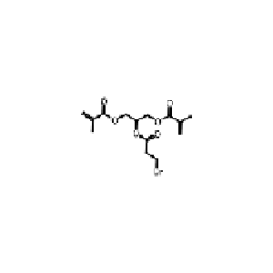 C=C(C)C(=O)OCC(COC(=O)C(=C)C)OC(=O)CCBr